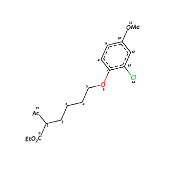 CCOC(=O)C(CCCCOc1ccc(OC)cc1Cl)C(C)=O